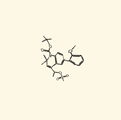 COc1ccccc1-c1ccc2c(c1)C(C(C)OS(C)(=O)=O)=CC(C)(C)N2C(=O)OC(C)(C)C